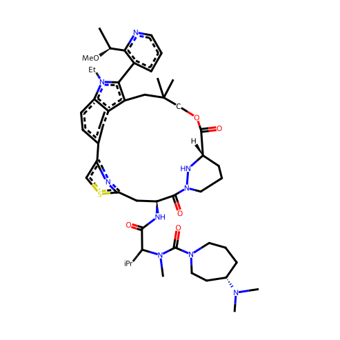 CCn1c(-c2cccnc2[C@H](C)OC)c2c3cc(ccc31)-c1csc(n1)C[C@H](NC(=O)C(C(C)C)N(C)C(=O)N1CCC[C@H](N(C)C)CC1)C(=O)N1CCC[C@H](N1)C(=O)OCC(C)(C)C2